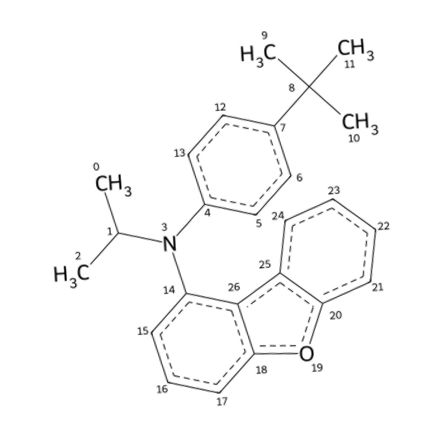 CC(C)N(c1ccc(C(C)(C)C)cc1)c1cccc2oc3ccccc3c12